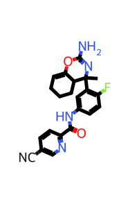 CC1(c2cc(NC(=O)c3ccc(C#N)cn3)ccc2F)N=C(N)OC2=CCCCC21